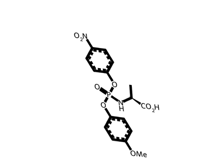 COc1ccc(OP(=O)(N[C@@H](C)C(=O)O)Oc2ccc([N+](=O)[O-])cc2)cc1